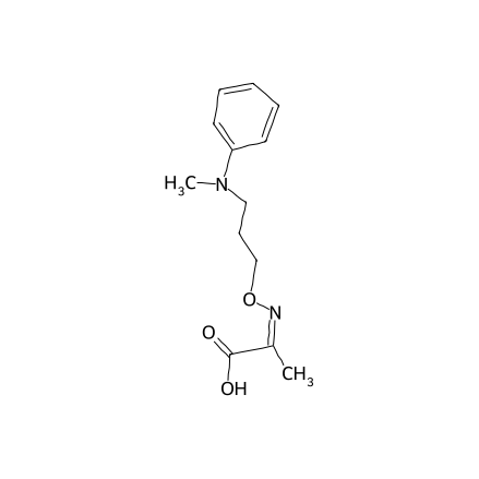 CC(=NOCCCN(C)c1ccccc1)C(=O)O